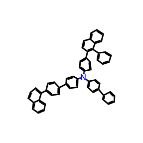 c1ccc(-c2ccc(N(c3ccc(-c4ccc(-c5cccc6ccccc56)cc4)cc3)c3ccc(-c4ccc5ccccc5c4-c4ccccc4)cc3)cc2)cc1